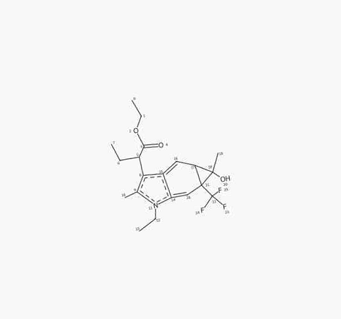 CCOC(=O)C(CC)c1c(C)n(CC)c2c1=CC1C(C)(O)C1(C(F)(F)F)C=2